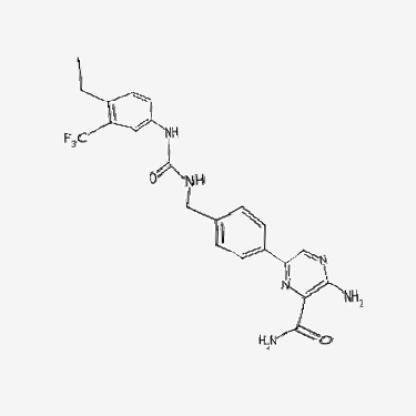 NC(=O)c1nc(-c2ccc(CNC(=O)Nc3ccc(CI)c(C(F)(F)F)c3)cc2)cnc1N